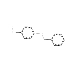 OBc1ccc(OCc2ccccc2)cc1